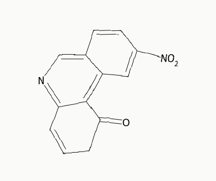 O=C1CC=Cc2ncc3ccc([N+](=O)[O-])cc3c21